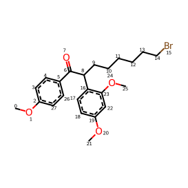 COc1ccc(C(=O)C(CCCCCCBr)c2ccc(OC)cc2OC)cc1